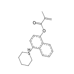 C=C(C)C(=O)Oc1ccc([SH]2CCCCC2)c2ccccc12